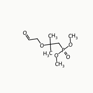 COP(=O)(CC(C)(C)OCC=O)OC